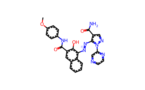 COc1ccc(NC(=O)c2cc3ccccc3c(/N=N/c3c(C(N)=O)cnn3-c3cnccn3)c2O)cc1